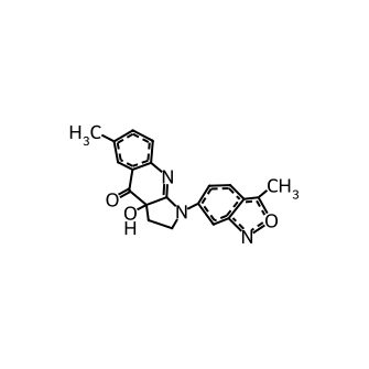 Cc1ccc2c(c1)C(=O)C1(O)CCN(c3ccc4c(C)onc4c3)C1=N2